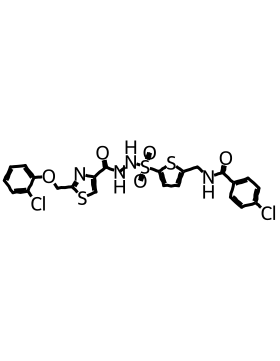 O=C(NCc1ccc(S(=O)(=O)NNC(=O)c2csc(COc3ccccc3Cl)n2)s1)c1ccc(Cl)cc1